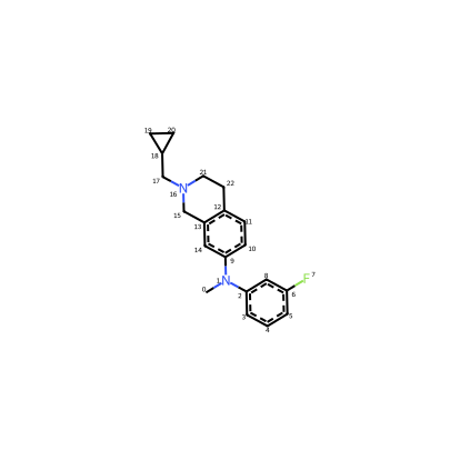 CN(c1cccc(F)c1)c1ccc2c(c1)CN(CC1CC1)CC2